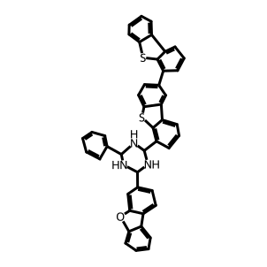 c1ccc(C2NC(c3ccc4c(c3)oc3ccccc34)NC(c3cccc4c3sc3ccc(-c5cccc6c5sc5ccccc56)cc34)N2)cc1